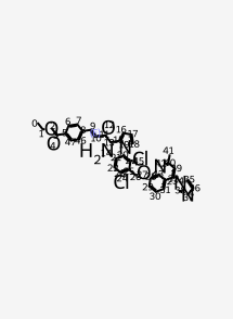 CCOC(=O)c1ccc(/C=C/C(=O)C(N)c2cccn2-c2ccc(Cl)c(COc3cccc4c(-n5ccnc5)cc(C)nc34)c2Cl)cc1